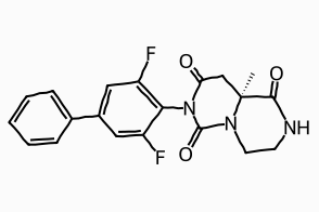 C[C@@]12CC(=O)N(c3c(F)cc(-c4ccccc4)cc3F)C(=O)N1CCNC2=O